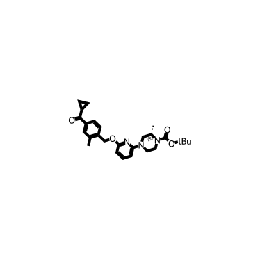 Cc1cc(C(=O)C2CC2)ccc1COc1cccc(N2CCN(C(=O)OC(C)(C)C)[C@@H](C)C2)n1